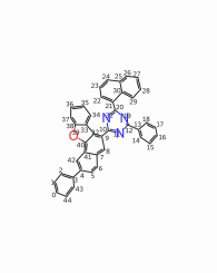 c1ccc(-c2ccc3cc(-c4nc(-c5ccccc5)nc(-c5cccc6ccccc56)n4)c4c5ccccc5oc4c3c2)cc1